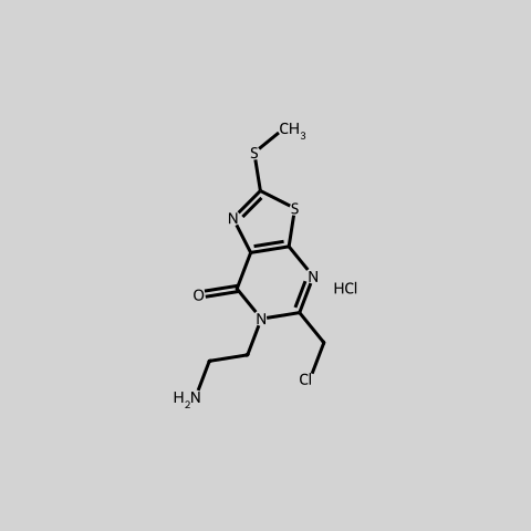 CSc1nc2c(=O)n(CCN)c(CCl)nc2s1.Cl